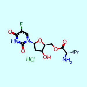 CC(C)[C@H](N)C(=O)OC[C@@H]1O[C@H](n2cc(F)c(=O)[nH]c2=O)CC1O.Cl